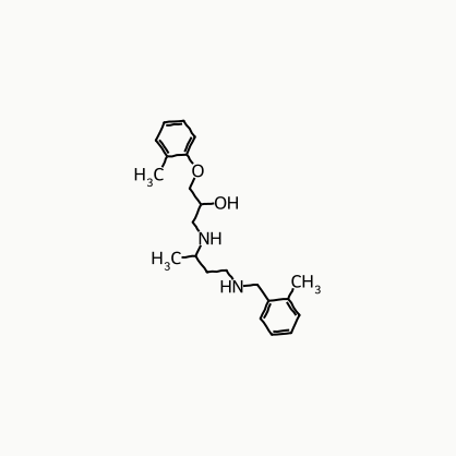 Cc1ccccc1CNCCC(C)NCC(O)COc1ccccc1C